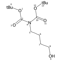 CC(C)(C)OC(=O)N(CCCCO)C(=O)OC(C)(C)C